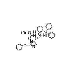 CC(C)(C)OC(=O)N[C@H](CC(=O)NC(c1ccccc1)(c1ccccc1)c1ccccc1)c1nnn(CCc2ccccc2)n1